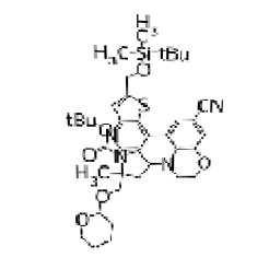 CC(C)(C)OC(=O)N1CC(N2CCOc3cc(C#N)cc(-c4ccnc5cc(CO[Si](C)(C)C(C)(C)C)sc45)c32)CC1(C)COC1CCCCO1